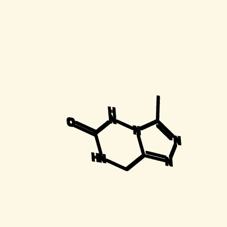 Cc1nnc2n1NC(=O)NC2